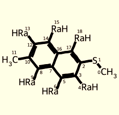 CSc1[c]([RaH])[c]([RaH])c2[c]([RaH])c(C)[c]([RaH])[c]([RaH])c2[c]1[RaH]